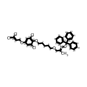 CC(COCCCCCOc1c(Cl)cc(OCC=C(Cl)Cl)cc1Cl)=NOC(c1ccccc1)(c1ccccc1)c1ccccc1